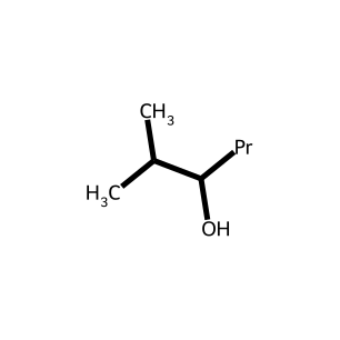 CC(C)[CH](O)[Pr]